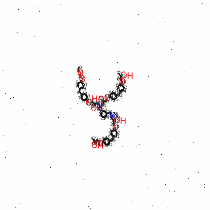 CCOCOc1ccc(Cc2ccc(OCC(O)CN(Cc3cccc(CN(CC)CC(O)COC4=CC=C(Cc5ccc(OCC(C)O)cc5)CC4)c3)CC(O)COc3ccc(Cc4ccc(OCC(C)O)cc4)cc3)cc2)cc1